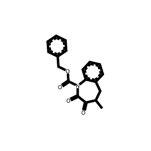 CC1Cc2ccccc2N(C(=O)OCc2ccccc2)C(=O)C1=O